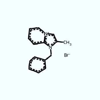 Cc1c[n+]2ccccc2n1Cc1ccccc1.[Br-]